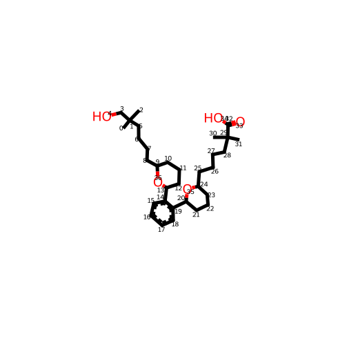 CC(C)(CO)CCCCC1CCCC(c2ccccc2C2CCCC(CCCCC(C)(C)C(=O)O)O2)O1